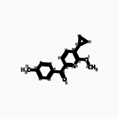 COc1nc(C(=O)c2ccc(C)cc2)ccc1C1CC1